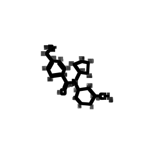 CC1CCCC(N(C(=O)c2ccc(CBr)cc2)C2CCCC2)C1